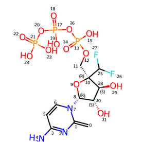 C=C1N=C(N)C=CN1[C@@H]1O[C@@](COP(=O)(O)OP(=O)(O)OP(=O)(O)O)(C(F)F)[C@@H](O)[C@@H]1O